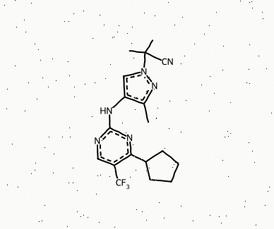 Cc1nn(C(C)(C)C#N)cc1Nc1ncc(C(F)(F)F)c(C2CCCC2)n1